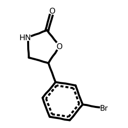 O=C1NCC(c2cccc(Br)c2)O1